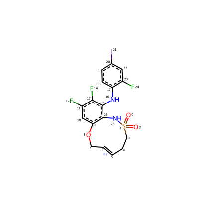 O=S1(=O)CC/C=C/COc2cc(F)c(F)c(Nc3ccc(I)cc3F)c2N1